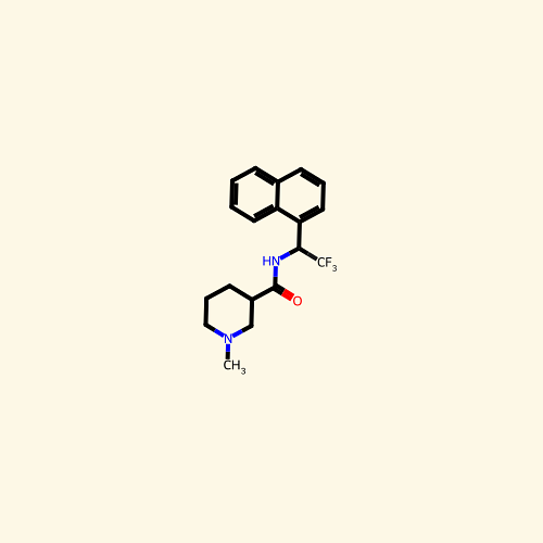 CN1CCCC(C(=O)NC(c2cccc3ccccc23)C(F)(F)F)C1